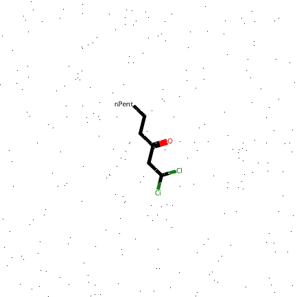 CCCCCCCC(=O)CC(Cl)Cl